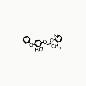 CC(COc1ccc(Oc2ccccc2)cc1)Oc1ccccn1.Cl